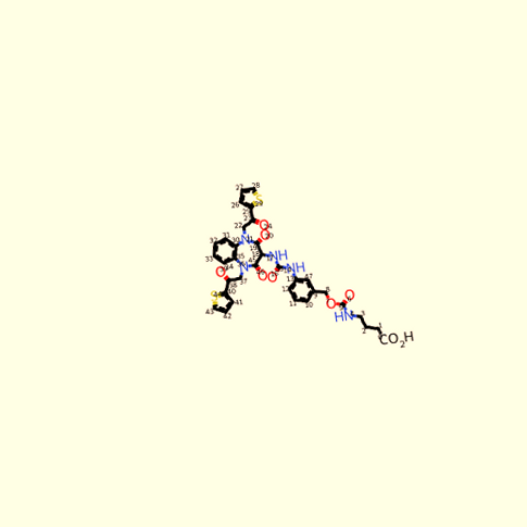 O=C(O)CCCNC(=O)OCc1cccc(NC(=O)NC2C(=O)N(CC(=O)c3cccs3)c3ccccc3N(CC(=O)c3cccs3)C2=O)c1